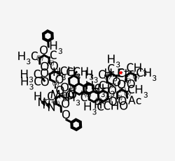 CCC1O[C@@H](OC2[C@H](O[C@H]3CCC4(C)C5CC=C6C7CC(C)(C)CC[C@]7(C(=O)O[C@@H]7OC(COCc8ccccc8)[C@H](N=[N+]=[N-])C(C)C7OC[C@@H]7O[C@H](C)[C@H](O[C@@H]8OC[C@@H](C)C(OCc9ccccc9)C8C)C8OC(C)(C)OC87)C(OC)C[C@@]6(C)[C@@]5(C)CC[C@H]4[C@@]3(C)C=O)OC(C(C)=O)[C@@H](C)[C@@H]2O[C@@H]2OC[C@@H](C)[C@H](C)C2C)C(C)[C@@H](C)[C@H]1C